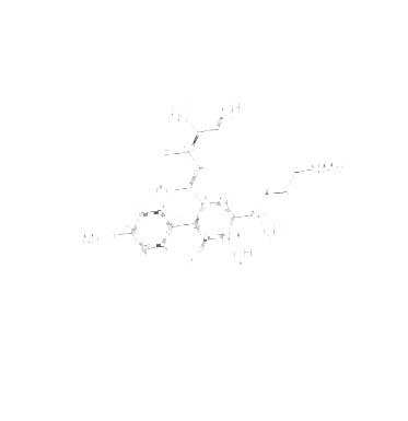 C=C/C(C#N)=C(F)\C=C(/C)c1nc(N(C)CCCNC)n(C)c(=O)c1-c1ccc(OC)cc1